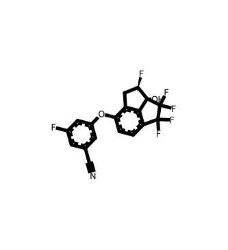 N#Cc1cc(F)cc(Oc2ccc3c4c2C[C@@H](F)[C@]4(O)C(F)(F)C3(F)F)c1